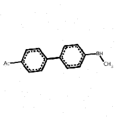 CBc1ccc(-c2ccc(C(C)=O)cc2)cc1